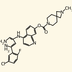 CN1CC2(CCN(C(=O)Oc3ccc4c(NC(/C=C(\N)c5cc(Cl)ccc5F)=C/N)ccnc4c3)CC2)C1